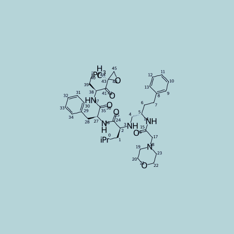 CC(C)C[C@H](NC[C@H](CCc1ccccc1)NC(=O)CN1CCOCC1)C(=O)N[C@@H](Cc1ccccc1)C(=O)N[C@@H](CC(C)C)C(=O)[C@@]1(C)CO1